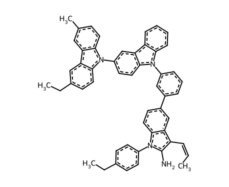 C/C=C\c1c(N)n(-c2ccc(CC)cc2)c2ccc(-c3cccc(-n4c5ccccc5c5cc(-n6c7ccc(C)cc7c7cc(CC)ccc76)ccc54)c3)cc12